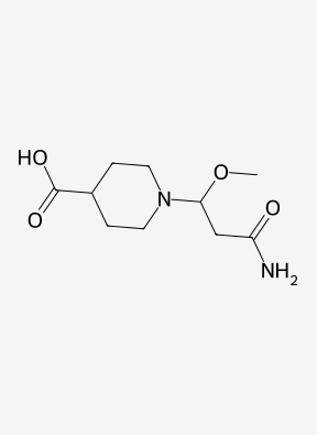 COC(CC(N)=O)N1CCC(C(=O)O)CC1